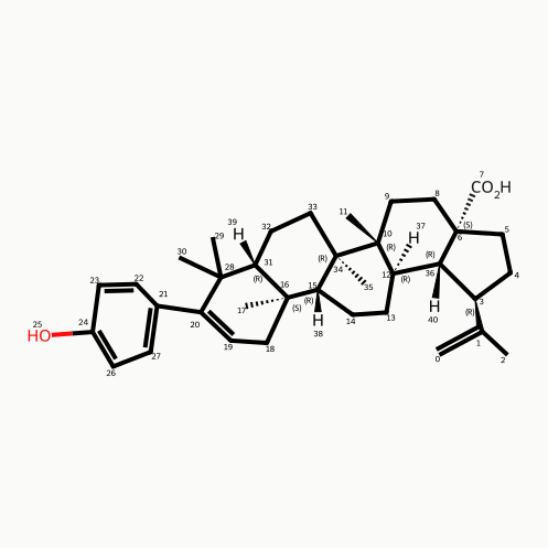 C=C(C)[C@@H]1CC[C@]2(C(=O)O)CC[C@]3(C)[C@H](CC[C@@H]4[C@@]5(C)CC=C(c6ccc(O)cc6)C(C)(C)[C@@H]5CC[C@]43C)[C@@H]12